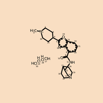 CN1CCC(c2nc3c(C(=O)NC4CN5CCC4CC5)cccc3o2)CC1.Cl.Cl.Cl.Cl